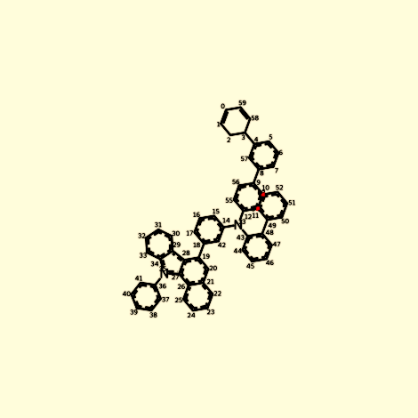 C1=CCC(c2cccc(-c3ccc(N(c4cccc(-c5cc6ccccc6c6c5c5ccccc5n6-c5ccccc5)c4)c4ccccc4-c4ccccc4)cc3)c2)C=C1